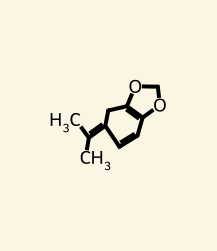 CC(C)=C1C=CC2=C(C1)OCO2